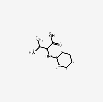 CC(C)C(NC1CCCCO1)C(=O)O